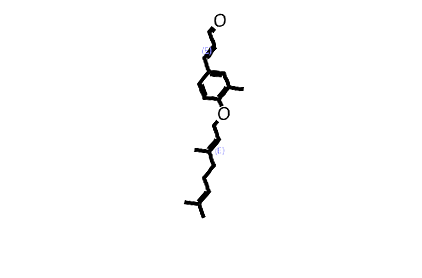 CC(C)=CCC/C(C)=C/COc1ccc(/C=C/C=O)cc1C